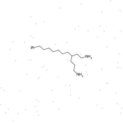 CC(C)CCCCCCCC(CCN)CCCN